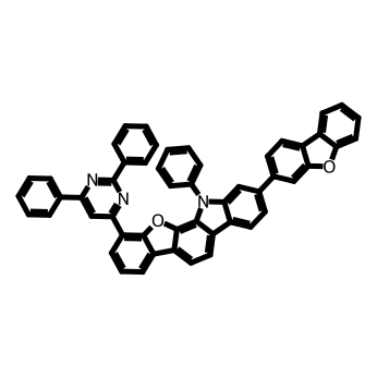 c1ccc(-c2cc(-c3cccc4c3oc3c4ccc4c5ccc(-c6ccc7c(c6)oc6ccccc67)cc5n(-c5ccccc5)c43)nc(-c3ccccc3)n2)cc1